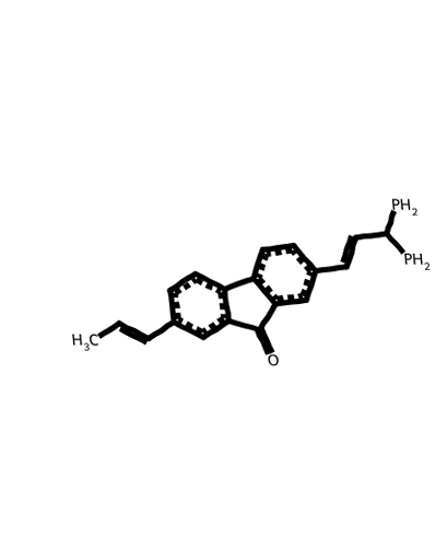 C/C=C/c1ccc2c(c1)C(=O)c1cc(/C=C/C(P)P)ccc1-2